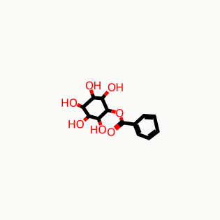 O=C(OC1C(O)C(O)C(O)C(O)C1O)c1ccccc1